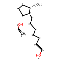 C=CO.CCCCCCCC[C@H]1CCC[C@@H]1CCCCCC=CO